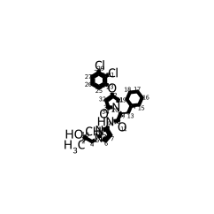 CC(C)(O)Cn1ccc(NC(=O)[C@H](CC2CCCCC2)N2CC(Oc3cccc(Cl)c3Cl)=CC2=O)n1